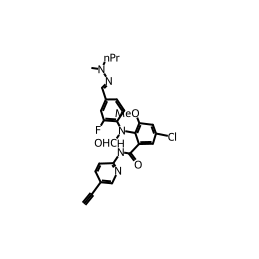 C#Cc1ccc(NC(=O)c2cc(Cl)cc(OC)c2N(C=O)c2ccc(C=NN(C)CCC)cc2F)nc1